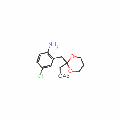 CC(=O)OCC1(Cc2cc(Cl)ccc2N)OCCCO1